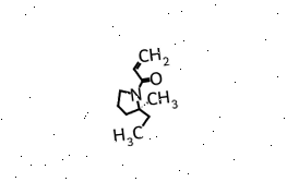 C=CC(=O)N1CCC[C@]1(C)CC